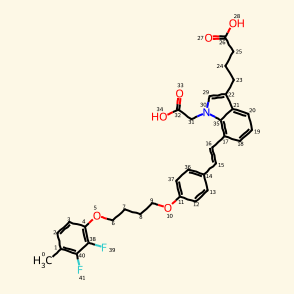 Cc1ccc(OCCCCOc2ccc(C=Cc3cccc4c(CCCC(=O)O)cn(CC(=O)O)c34)cc2)c(F)c1F